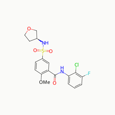 COc1ccc(S(=O)(=O)N[C@H]2CCOC2)cc1C(=O)Nc1cccc(F)c1Cl